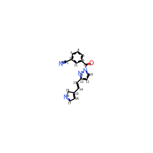 N#Cc1cccc(C(=O)n2ccc(/C=C/C3=CC=NC3)n2)c1